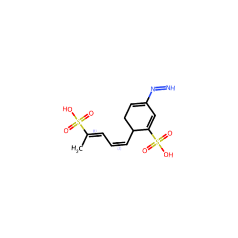 C/C(=C\C=C/C1CC=C(N=N)C=C1S(=O)(=O)O)S(=O)(=O)O